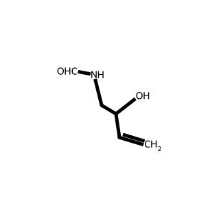 C=CC(O)CNC=O